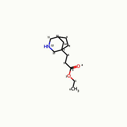 CCOC(=O)CCC12CCC(CNC1)C2